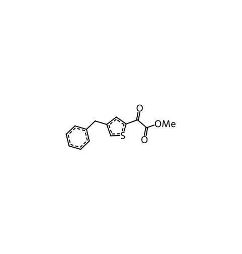 COC(=O)C(=O)c1cc(Cc2ccccc2)cs1